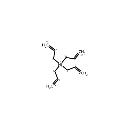 C=C[CH2][Hf]([CH2]C=C)([CH2]C=C)[CH2]C=C